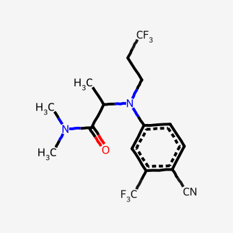 CC(C(=O)N(C)C)N(CCC(F)(F)F)c1ccc(C#N)c(C(F)(F)F)c1